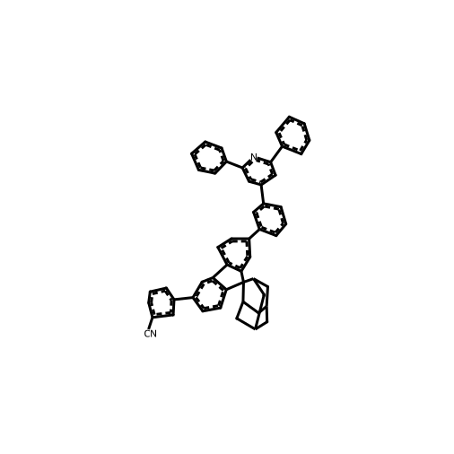 N#Cc1cccc(-c2ccc3c(c2)-c2ccc(-c4cccc(-c5cc(-c6ccccc6)nc(-c6ccccc6)c5)c4)cc2C32C3CC4CC(C3)CC2C4)c1